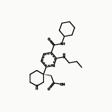 CCCNc1nc([C@]2(CC(=O)O)CCCNC2)ccc1C(=O)NC1CCCCC1